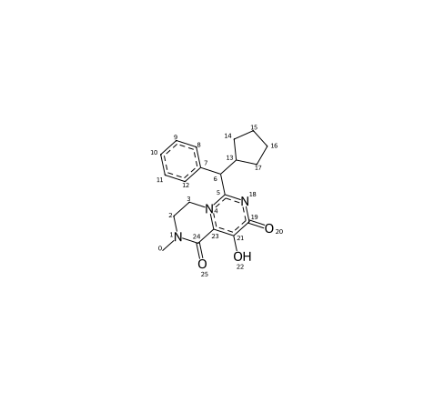 CN1CCn2c(C(c3ccccc3)C3CCCC3)nc(=O)c(O)c2C1=O